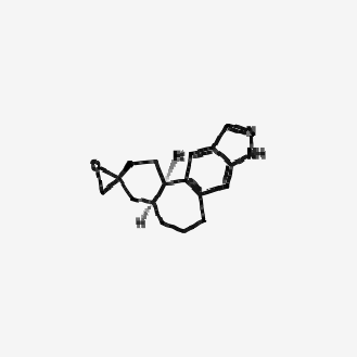 CC[C@@]12CC[C@]3(CO3)C[C@@H]1CCCc1cc3[nH]ncc3cc12